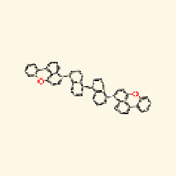 c1ccc2c(c1)Oc1ccc(-c3cccc4c(-c5cccc6c(-c7ccc8c9c(cccc79)-c7ccccc7O8)cccc56)cccc34)c3cccc-2c13